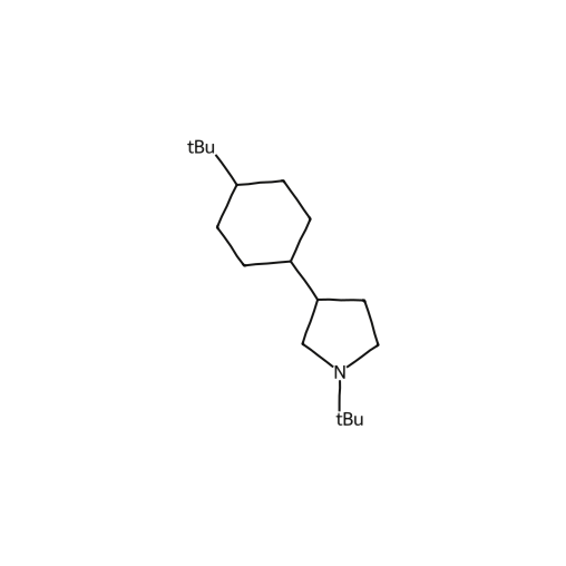 CC(C)(C)C1CCC(C2CCN(C(C)(C)C)C2)CC1